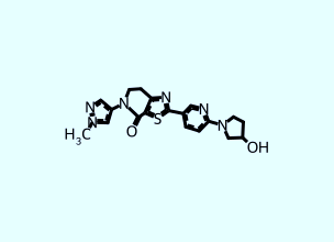 Cn1cc(N2CCc3nc(-c4ccc(N5CCC(O)C5)nc4)sc3C2=O)cn1